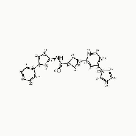 O=C(Nc1nc(-c2ccccn2)cs1)C1CN(c2cc(-n3ccnc3)ncn2)C1